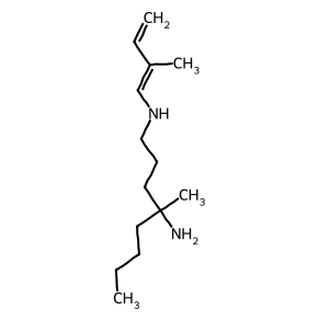 C=C/C(C)=C/NCCCC(C)(N)CCCC